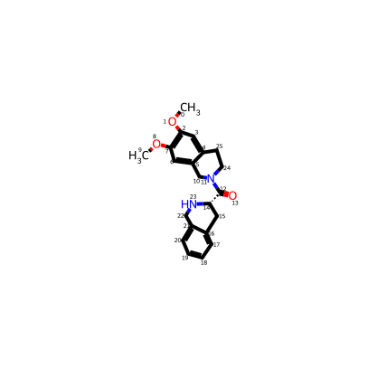 COc1cc2c(cc1OC)CN(C(=O)[C@@H]1Cc3ccccc3CN1)CC2